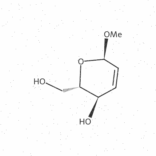 CO[C@H]1C=C[C@@H](O)[C@H](CO)O1